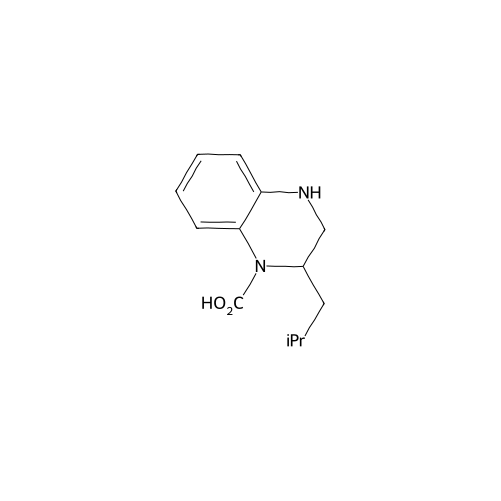 CC(C)CC1CNc2ccccc2N1C(=O)O